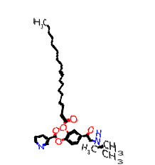 CCCCCCCCC=CCCCCCCCC(=O)Oc1cc(C(=O)CNC(C)(C)C)ccc1OC(=O)c1cccnc1